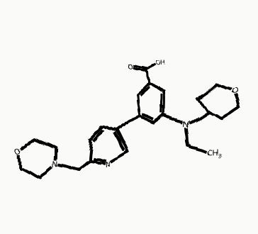 CCN(c1cc(C(=O)O)cc(-c2ccc(CN3CCOCC3)nc2)c1)C1CCOCC1